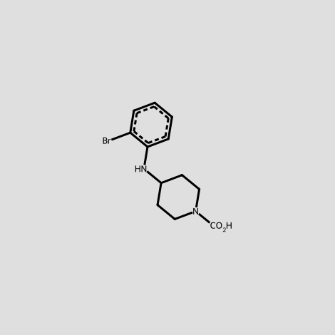 O=C(O)N1CCC(Nc2ccccc2Br)CC1